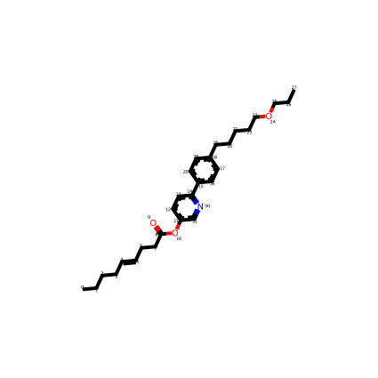 CCCC/C=C/CCC(=O)Oc1ccc(-c2ccc(CCCCCOCCC)cc2)nc1